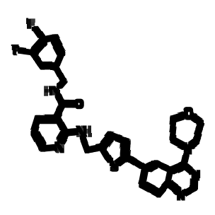 O=C(NCc1ccc(F)c(F)c1)c1cccnc1NCc1ccc(-c2ccc3ncnc(N4CCOCC4)c3c2)s1